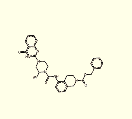 CC(C)C1CN(c2nc3ccccc3c(=O)[nH]2)CCN1C(=S)Nc1cccc2c1CCN(C(=O)OCc1ccccc1)C2